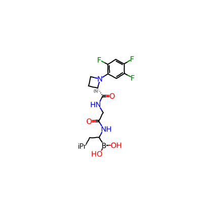 CC(C)CC(NC(=O)CNC(=O)[C@@H]1CCN1c1cc(F)c(F)cc1F)B(O)O